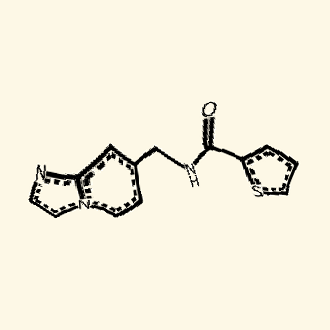 O=C(NCc1ccn2ccnc2c1)c1cccs1